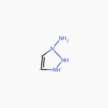 NN1[C]=[C]NN1